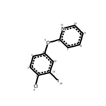 Clc1ccc(Oc2ccccn2)cc1I